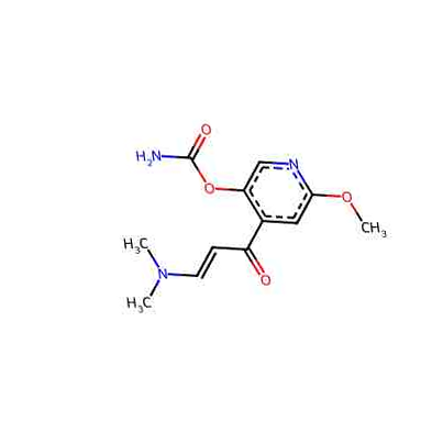 COc1cc(C(=O)C=CN(C)C)c(OC(N)=O)cn1